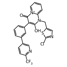 O=c1c(-c2cccc(-c3ccc(C(F)(F)F)nc3)c2)c(O)n(Cc2cnc(Cl)s2)c2cccc[n+]12